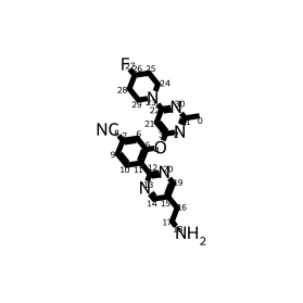 Cc1nc(Oc2cc(C#N)ccc2-c2ncc(CCN)cn2)cc(N2CCC(F)CC2)n1